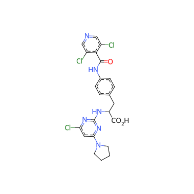 O=C(Nc1ccc(CC(Nc2nc(Cl)cc(N3CCCC3)n2)C(=O)O)cc1)c1c(Cl)cncc1Cl